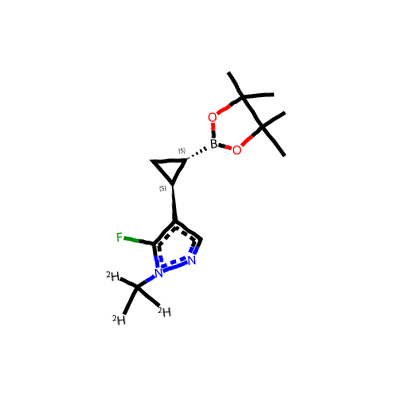 [2H]C([2H])([2H])n1ncc([C@H]2C[C@@H]2B2OC(C)(C)C(C)(C)O2)c1F